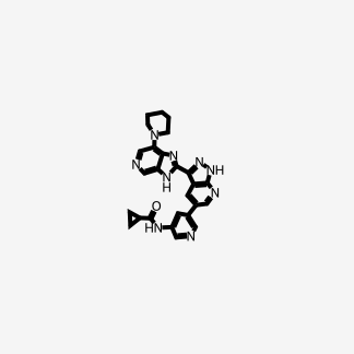 O=C(Nc1cncc(-c2cnc3[nH]nc(-c4nc5c(N6CCCCC6)cncc5[nH]4)c3c2)c1)C1CC1